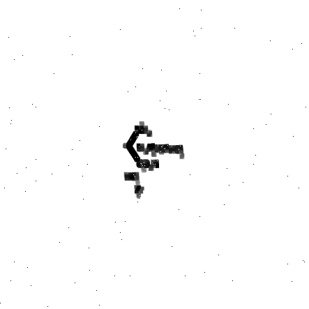 Cl.Cl.Cl.NCC(=O)O.[AlH3].[Zr]